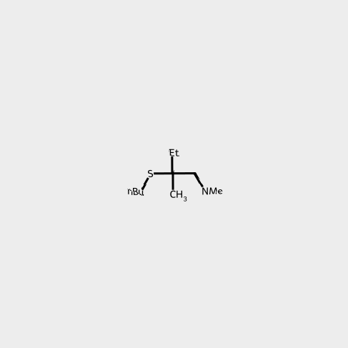 CCCCSC(C)(CC)CNC